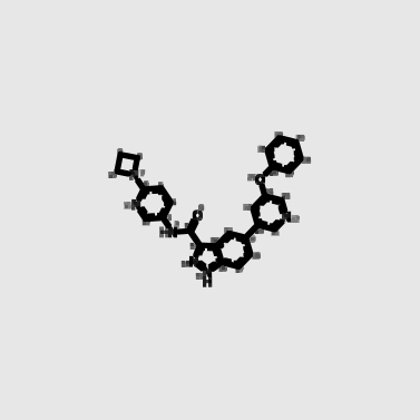 O=C(Nc1ccc(N2CCC2)nc1)c1n[nH]c2ccc(-c3cncc(Oc4ccccc4)c3)cc12